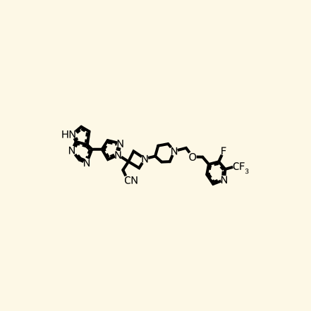 N#CCC1(n2cc(-c3ncnc4[nH]ccc34)cn2)CN(C2CCN(COCc3ccnc(C(F)(F)F)c3F)CC2)C1